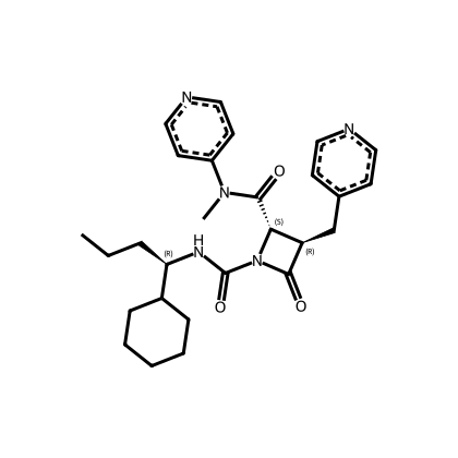 CCC[C@@H](NC(=O)N1C(=O)[C@H](Cc2ccncc2)[C@H]1C(=O)N(C)c1ccncc1)C1CCCCC1